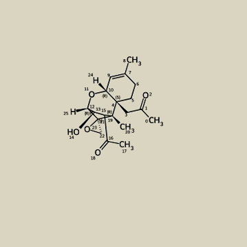 CC(=O)C[C@]12CCC(C)=C[C@H]1O[C@@H]1[C@H](O)C(C(C)=O)[C@@]2(C)[C@]12CO2